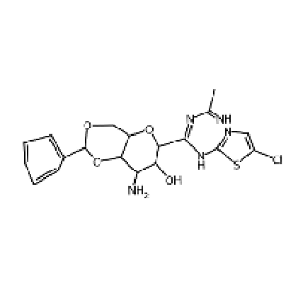 CC(=N)/N=C(\Nc1ncc(Cl)s1)C1OC2COC(c3ccccc3)OC2C(N)C1O